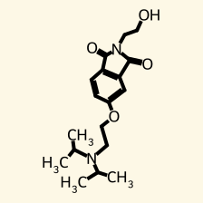 CC(C)N(CCOc1ccc2c(c1)C(=O)N(CCO)C2=O)C(C)C